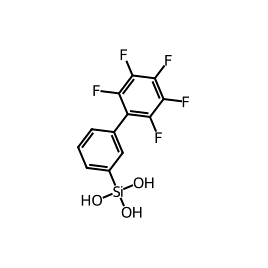 O[Si](O)(O)c1cccc(-c2c(F)c(F)c(F)c(F)c2F)c1